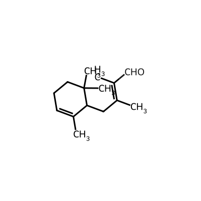 CC1=CCCC(C)(C)C1CC(C)=C(C)C=O